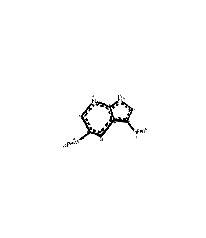 CCCCCc1cnc2[nH]cc(CCCCC)c2c1